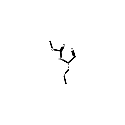 COC[C@@H](C=O)NC(=O)OC